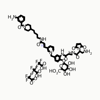 NCC(C(=O)NCCC(=O)Nc1cc(C[n+]2cccc(/C=C/C(=O)NCCCCC3CCN(C(=O)c4cccc(N)c4)CC3)c2)ccc1O[C@@H]1O[C@H](C(=O)O)[C@@H](O)[C@H](O)[C@H]1O)N1C(=O)C=CC1=O.O=C(O)C(F)(F)F.O=C(O)C(F)(F)F.O=C([O-])C(F)(F)F